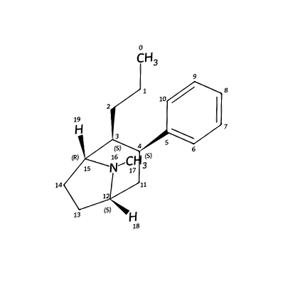 CCC[C@H]1[C@@H](c2ccccc2)C[C@@H]2CC[C@H]1N2C